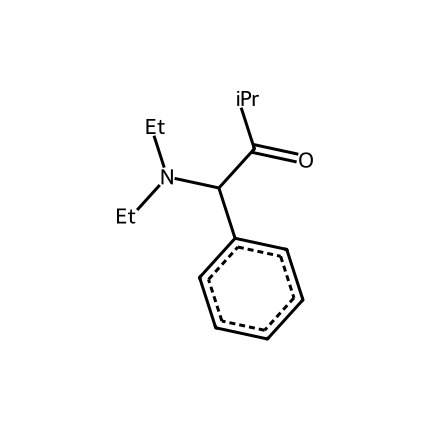 CCN(CC)C(C(=O)C(C)C)c1ccccc1